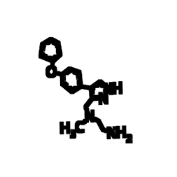 CN(CCN)Cc1n[nH]cc1-c1ccc(Oc2ccccc2)cc1